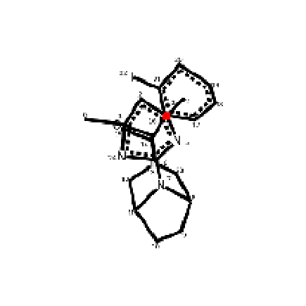 Cc1cc(C)nc(N2C3CCC2CN(C(=O)c2ccccc2I)C3)n1